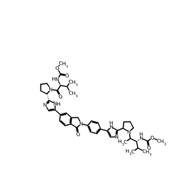 COC(=O)N[C@H](C(C)C)C(C)N1CCCC1c1ncc(-c2ccc(N3Cc4cc(-c5cnc([C@@H]6CCCN6C(=O)[C@@H](NC(=O)OC)C(C)C)[nH]5)ccc4C3=O)cc2)[nH]1